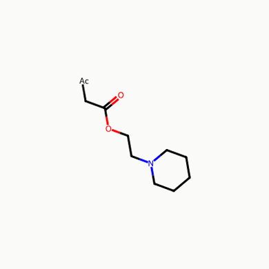 CC(=O)CC(=O)OCCN1CCCCC1